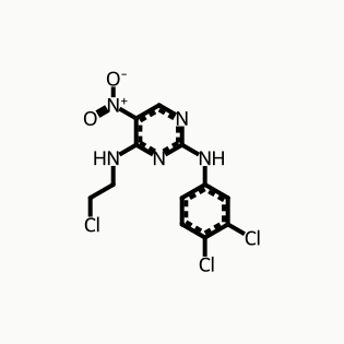 O=[N+]([O-])c1cnc(Nc2ccc(Cl)c(Cl)c2)nc1NCCCl